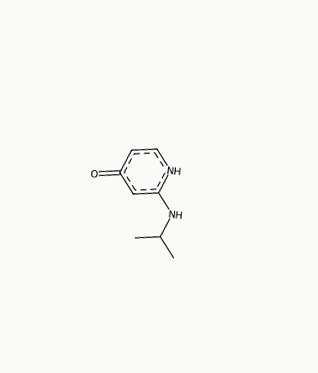 CC(C)Nc1cc(=O)cc[nH]1